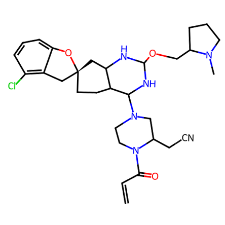 C=CC(=O)N1CCN(C2NC(OCC3CCCN3C)NC3C[C@@]4(CCC32)Cc2c(Cl)cccc2O4)CC1CC#N